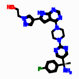 C[C@](N)(c1ccc(F)cc1)c1cnc(N2CCN(c3ncnc4[nH]c(-c5cnn(CCO)c5)cc34)CC2)nc1